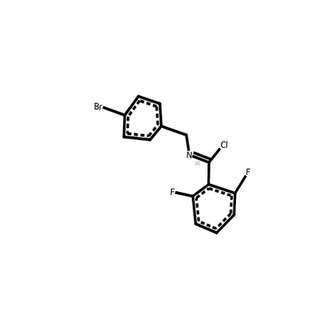 Fc1cccc(F)c1/C(Cl)=N/Cc1ccc(Br)cc1